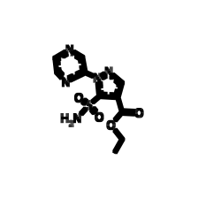 CCOC(=O)c1cnn(-c2cnccn2)c1S(N)(=O)=O